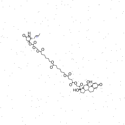 C/C=C/C[C@H]1NC(=O)C[C@@H]1OC(=O)OCOC(=O)CCCCCOC(=O)CCCCCOC(=O)CCC(=O)OCC(=O)[C@@]1(O)CCC2C3CCC4=CC(=O)C=C[C@]4(C)C3[C@@H](O)C[C@@]21C